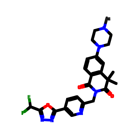 CC(=O)N1CCN(c2ccc3c(c2)C(C)(C)C(=O)N(Cc2ccc(-c4nnc(C(F)F)o4)cn2)C3=O)CC1